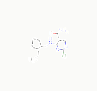 CCc1ccccc1CNc1nc(Cl)ncc1C(N)=O